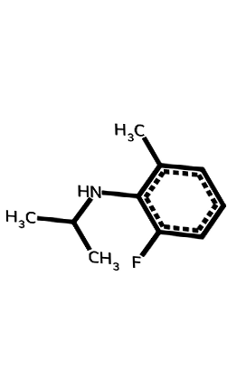 Cc1cccc(F)c1NC(C)C